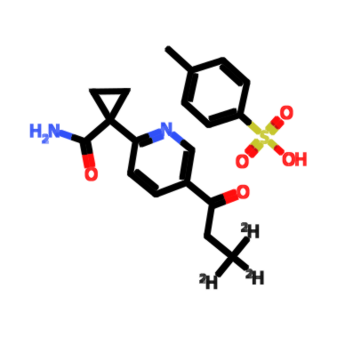 Cc1ccc(S(=O)(=O)O)cc1.[2H]C([2H])([2H])CC(=O)c1ccc(C2(C(N)=O)CC2)nc1